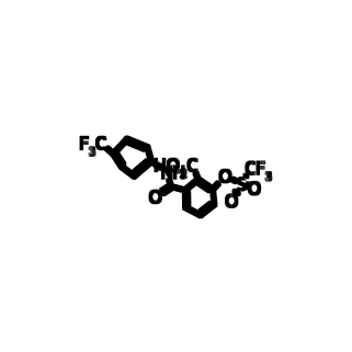 O=C(Nc1ccc(C(F)(F)F)cc1)c1cccc(OS(=O)(=O)C(F)(F)F)c1C(=O)O